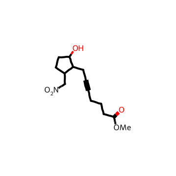 COC(=O)CCCC#CCC1C(O)CCC1C[N+](=O)[O-]